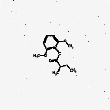 CC[C@@H](C)C(=O)Oc1c(OC)cccc1OC